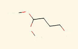 CCCCCOC(CCCO)OCCCCC